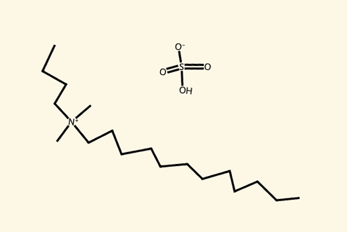 CCCCCCCCCCCC[N+](C)(C)CCCC.O=S(=O)([O-])O